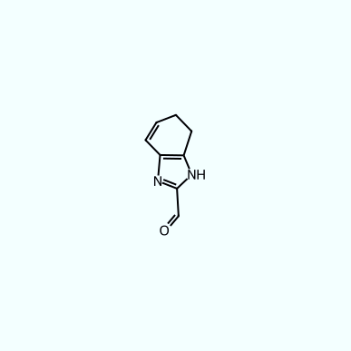 O=Cc1nc2c([nH]1)CCC=C2